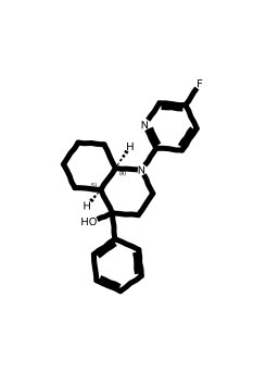 OC1(c2ccccc2)CCN(c2ccc(F)cn2)[C@@H]2CCCC[C@@H]21